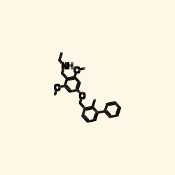 CCNCc1c(OC)cc(OCc2cccc(-c3ccccc3)c2C)cc1OC